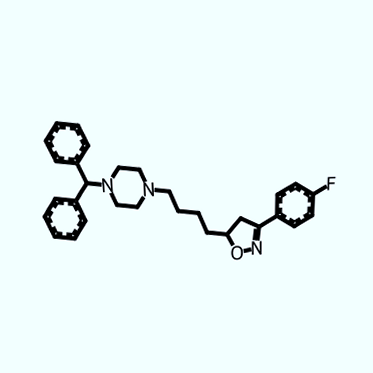 Fc1ccc(C2=NOC(CCCCN3CCN(C(c4ccccc4)c4ccccc4)CC3)C2)cc1